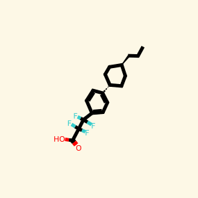 CCC[C@H]1CC[C@H](c2ccc(C(F)(F)C(F)(F)C(=O)O)cc2)CC1